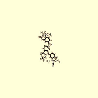 CC(C)(C#N)c1cc(-n2c3nc(Nc4ccc5c(c4)CNCC5(C)C)ncc3c(=O)n2CC(F)(F)F)ccc1F